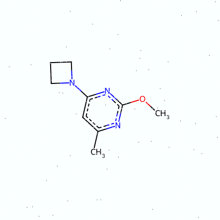 COc1nc(C)cc(N2CCC2)n1